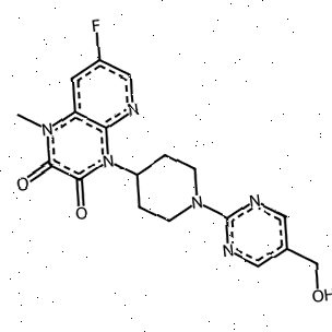 Cn1c(=O)c(=O)n(C2CCN(c3ncc(CO)cn3)CC2)c2ncc(F)cc21